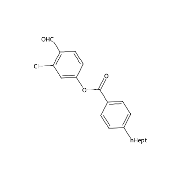 CCCCCCCc1ccc(C(=O)Oc2ccc(C=O)c(Cl)c2)cc1